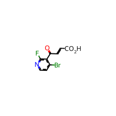 O=C(O)C=CC(=O)c1c(Br)ccnc1F